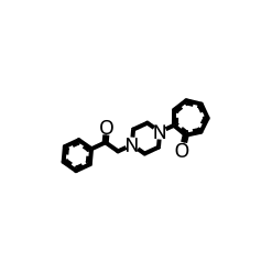 O=C(CN1CCN(c2cccccc2=O)CC1)c1ccccc1